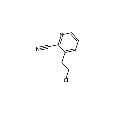 N#Cc1ncccc1CCCl